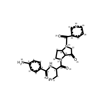 CC(C)CC(NC(=O)c1ccc(N)cc1)C(=O)N1CCC2C1C(=O)CN2C(=O)c1cccnc1